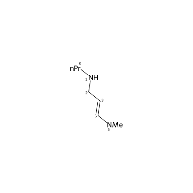 CCCNCC=CNC